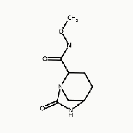 CONC(=O)C1CCC2CN1C(=O)N2